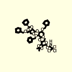 CC1O[C@@H](OC(=N)C(Cl)(Cl)Cl)C2OC(C)(C)OC2[C@H]1O[C@@H]1OC[C@@H](OCc2ccccc2)C(O[C@H]2OCC3(COCc4ccccc4)O[C@@H](c4ccccc4)OC23)C1OCc1ccccc1